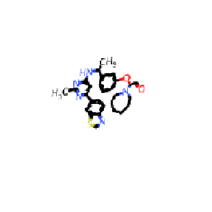 Cc1nc(NC(C)c2cccc(O[C@@H](C=O)N3CCCCCC3)c2)cc(-c2ccc3ncsc3c2)n1